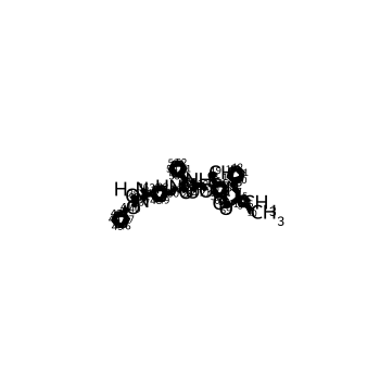 CCCCC1(CC)CN(c2ccccc2)c2cc(SC)c(OCC(=O)N[C@@H](C(=O)NCc3ccc(C(N)=NC(=O)OCc4ccccc4)cc3)c3ccccc3)cc2S(=O)(=O)C1